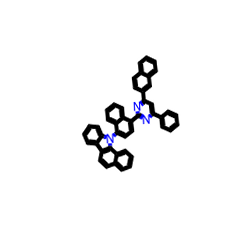 c1ccc(-c2cc(-c3ccc4ccccc4c3)nc(-c3ccc(-n4c5ccccc5c5ccc6ccccc6c54)c4ccccc34)n2)cc1